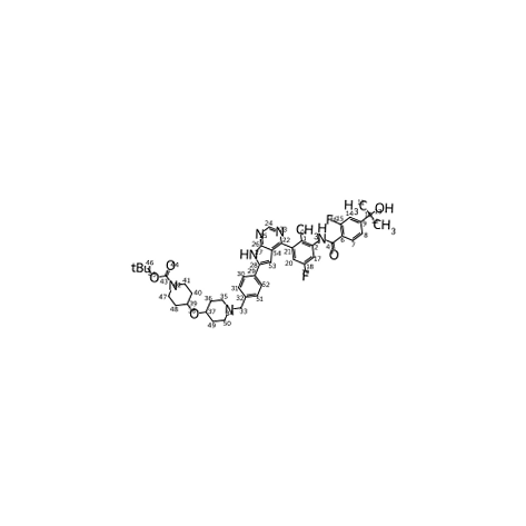 Cc1c(NC(=O)c2ccc(C(C)(C)O)cc2F)cc(F)cc1-c1ncnc2[nH]c(-c3ccc(CN4CCC(OC5CCN(C(=O)OC(C)(C)C)CC5)CC4)cc3)cc12